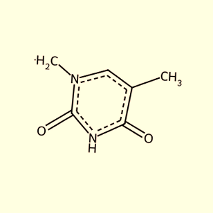 [CH2]n1cc(C)c(=O)[nH]c1=O